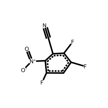 N#Cc1c(F)c(F)cc(F)c1[N+](=O)[O-]